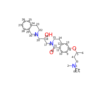 CCN(C)CCC(C)Oc1ccc2c(c1)CCN(CC(O)CN1CCc3ccccc3C1)C2=O